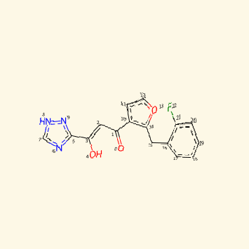 O=C(C=C(O)c1nc[nH]n1)c1ccoc1Cc1ccccc1F